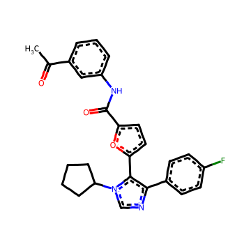 CC(=O)c1cccc(NC(=O)c2ccc(-c3c(-c4ccc(F)cc4)ncn3C3CCCC3)o2)c1